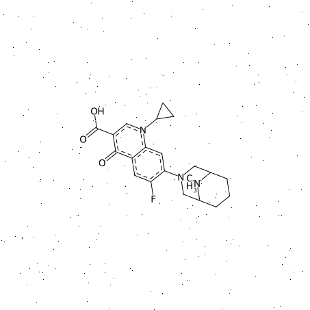 CN1C2CCCC1CN(c1cc3c(cc1F)c(=O)c(C(=O)O)cn3C1CC1)C2